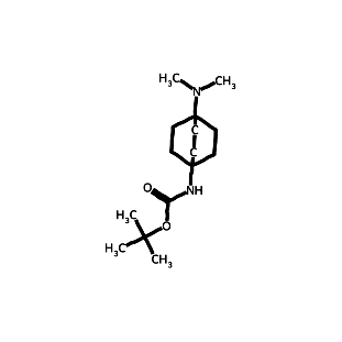 CN(C)C12CCC(NC(=O)OC(C)(C)C)(CC1)CC2